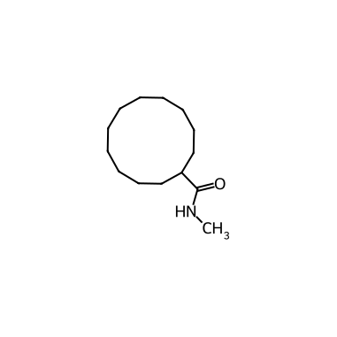 CNC(=O)C1CCCCCCCCCCC1